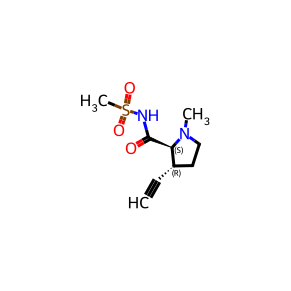 C#C[C@H]1CCN(C)[C@@H]1C(=O)NS(C)(=O)=O